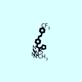 Cc1nnc2n1-c1sc3c(c1C(c1ccc(C=Cc4ccc(C(F)(F)F)cc4)cc1)=NC2)CCC3